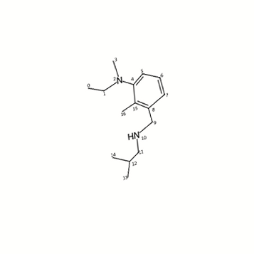 CCN(C)c1cccc(CNCC(C)C)c1C